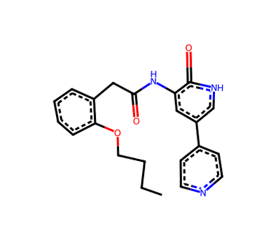 CCCCOc1ccccc1CC(=O)Nc1cc(-c2ccncc2)c[nH]c1=O